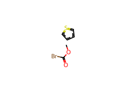 COC(=O)Br.c1ccsc1